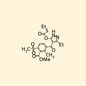 CCSC(=O)Oc1[nH]nc(CC)c1C(=O)c1ccc(S(C)(=O)=O)c(C(=O)OC)c1C